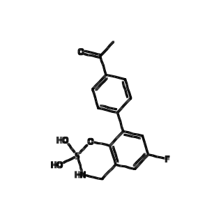 CC(=O)c1ccc(-c2cc(F)cc3c2OS(O)(O)NC3)cc1